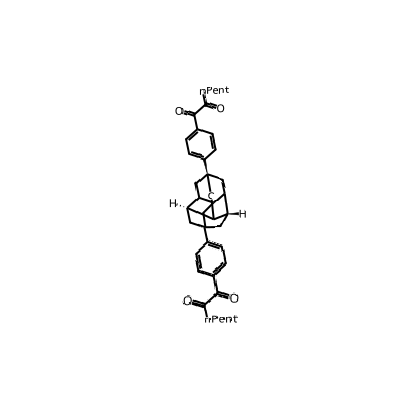 CCCCCC(=O)C(=O)c1ccc(C23CC4C5C[C@]6(c7ccc(C(=O)C(=O)CCCCC)cc7)CC4[C@H](C2)C(C6)[C@H]5C3)cc1